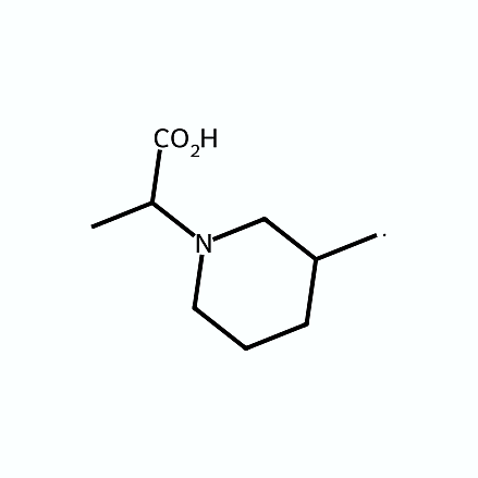 [CH2]C1CCCN(C(C)C(=O)O)C1